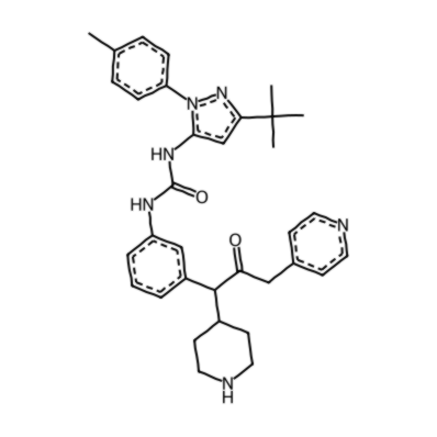 Cc1ccc(-n2nc(C(C)(C)C)cc2NC(=O)Nc2cccc(C(C(=O)Cc3ccncc3)C3CCNCC3)c2)cc1